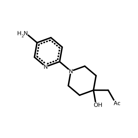 CC(=O)CC1(O)CCN(c2ccc(N)cn2)CC1